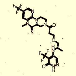 CC(COCCC(=O)N1CCN2c3ncc(C(F)(F)F)cc3N(C)C(=S)C2C1)Nc1cn[nH]c(=O)c1C(F)(F)F